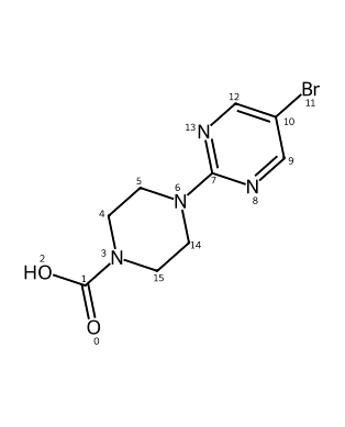 O=C(O)N1CCN(c2ncc(Br)cn2)CC1